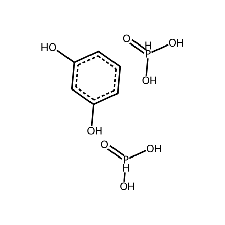 O=[PH](O)O.O=[PH](O)O.Oc1cccc(O)c1